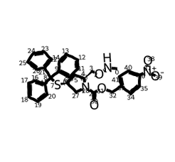 CNOC[C@@H]1C[C@H](SC(c2ccccc2)(c2ccccc2)c2ccccc2)CN1C(=O)OCc1ccc([N+](=O)[O-])cc1